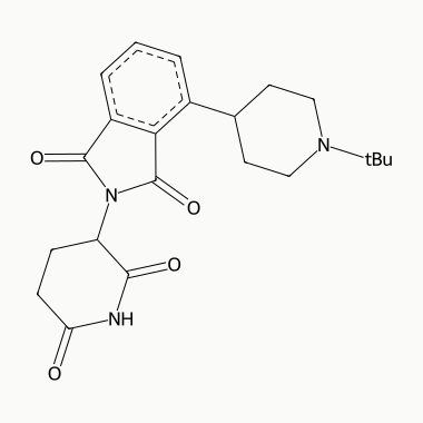 CC(C)(C)N1CCC(c2cccc3c2C(=O)N(C2CCC(=O)NC2=O)C3=O)CC1